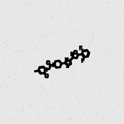 Cc1ccn(CC(=O)N2CCC(c3nc(C4=NOC(c5c(F)cccc5F)C4)cs3)CC2)c(=O)c1